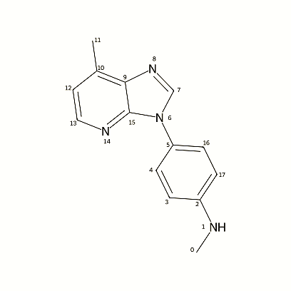 CNc1ccc(-n2cnc3c(C)ccnc32)cc1